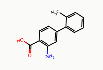 Cc1ccccc1-c1ccc(C(=O)O)c(N)c1